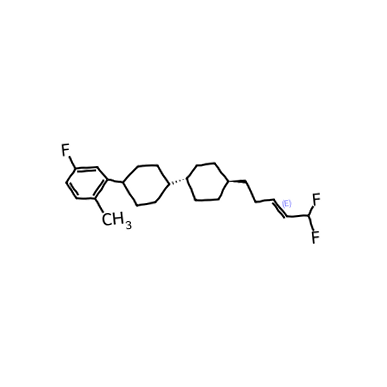 Cc1ccc(F)cc1C1CCC([C@H]2CC[C@H](CC/C=C/C(F)F)CC2)CC1